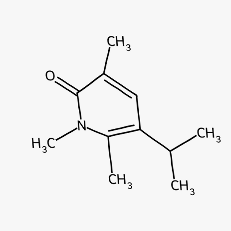 Cc1cc(C(C)C)c(C)n(C)c1=O